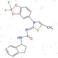 Cc1cn(-c2ccc3c(c2)OC(F)(F)O3)c(=NC(=O)NC2CCc3ccccc32)s1